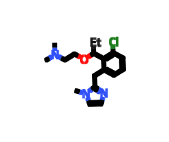 CCC(OCCN(C)C)c1c(Cl)cccc1Cc1nccn1C